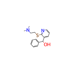 CN(C)CCSc1ncccc1C(O)c1ccccc1